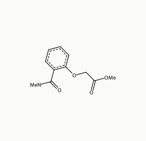 CNC(=O)c1ccccc1OCC(=O)OC